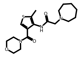 Cc1scc(C(=O)N2CCOCC2)c1NC(=O)CN1CCCCCC1